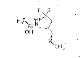 C=NCC(CN[C@H](C)O)CC(F)(F)F